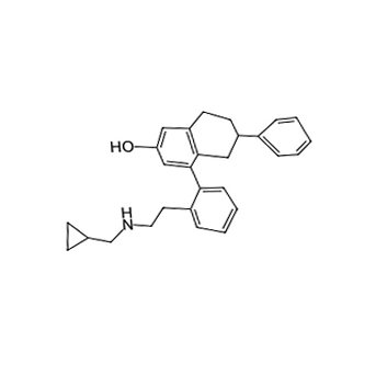 Oc1cc2c(c(-c3ccccc3CCNCC3CC3)c1)CC(c1ccccc1)CC2